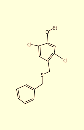 CCOc1cc(Cl)c(CSCc2ccccc2)cc1Cl